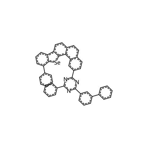 c1ccc(-c2cccc(-c3nc(-c4ccccc4)nc(-c4ccc5ccc6ccc7c8cccc(-c9ccccc9)c8[se]c7c6c5c4)n3)c2)cc1